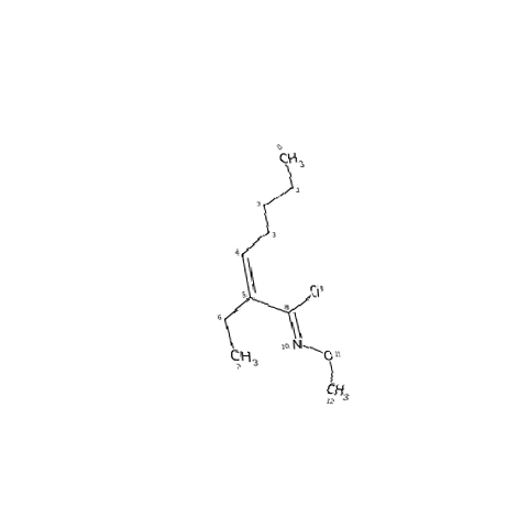 CCCCC=C(CC)C(Cl)=NOC